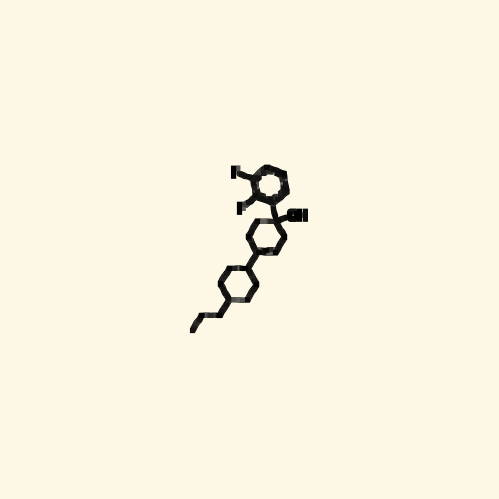 CCCC1CCC(C2=CCC(O)(c3cccc(F)c3F)CC2)CC1